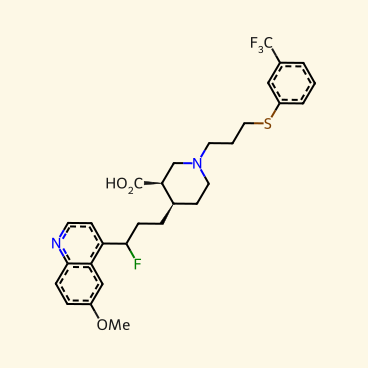 COc1ccc2nccc(C(F)CC[C@@H]3CCN(CCCSc4cccc(C(F)(F)F)c4)C[C@@H]3C(=O)O)c2c1